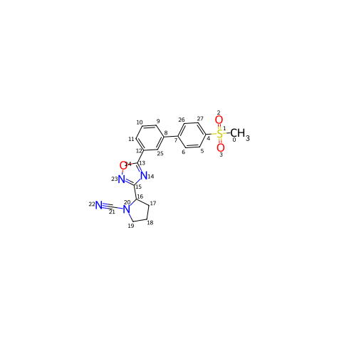 CS(=O)(=O)c1ccc(-c2cccc(-c3nc(C4CCCN4C#N)no3)c2)cc1